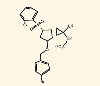 N#CC1(NC(=O)O)CC1.O=S(=O)(c1ccccc1Cl)[C@@H]1CC[C@@H](OCc2ccc(Br)cc2)C1